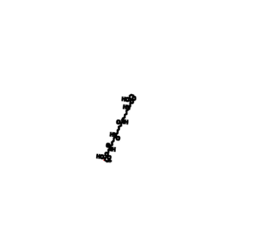 C[C@H]1CCC(O)C(OCCNC(=O)CCCCC(=O)NCCCCCC(=O)NCCCCCCNCCOC2OCCCC2O)O1